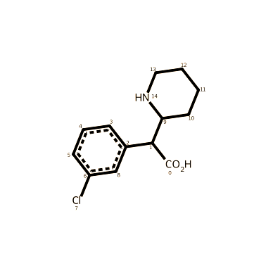 O=C(O)C(c1cccc(Cl)c1)C1CCCCN1